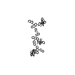 c1ccc(-n2c(-c3ccc(-c4ccc5c(-c6ccc7ccccc7c6)c6ccccc6c(-c6ccc7cc(-c8cccc9cc(-c%10c%11ccccc%11c(-c%11ccc%12ccc(-c%13ccc%14c(-c%15ccc%16ccccc%16c%15)c%15ccccc%15c(-c%15ccc%16ccc%17cccnc%17c%16n%15)c%14c%13)cc%12c%11)c%11cc(-c%12nccc%13c%12sc%12ccccc%12%13)ccc%10%11)ccc89)ccc7c6)c5c4)cc3)nc3ccccc32)cc1